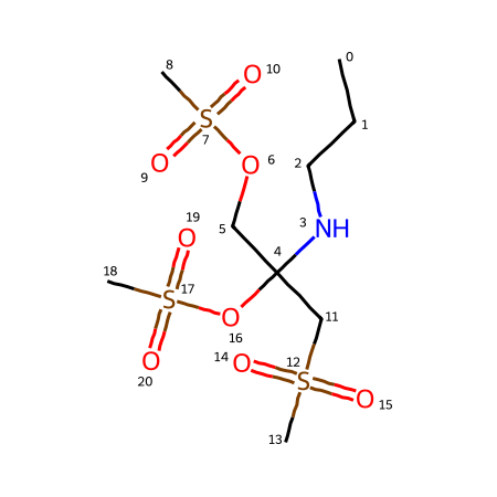 CCCNC(COS(C)(=O)=O)(CS(C)(=O)=O)OS(C)(=O)=O